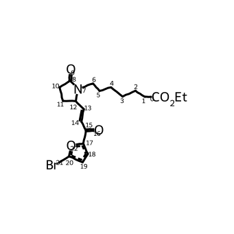 CCOC(=O)CCCCCCN1C(=O)CCC1C=CC(=O)c1ccc(Br)o1